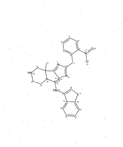 CC1(c2nc(Cc3ccccc3[N+](=O)[O-])ns2)CNCCN1C(=O)Nc1csc2ccccc12